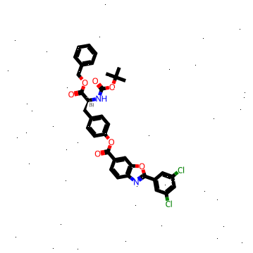 CC(C)(C)OC(=O)N[C@@H](Cc1ccc(OC(=O)c2ccc3nc(-c4cc(Cl)cc(Cl)c4)oc3c2)cc1)C(=O)OCc1ccccc1